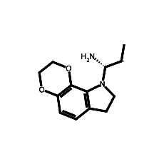 C[CH][C@@H](N)N1CCc2ccc3c(c21)OCCO3